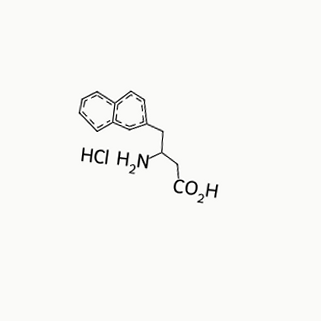 Cl.NC(CC(=O)O)Cc1ccc2ccccc2c1